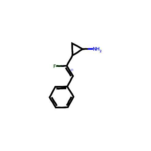 NC1CC1/C(F)=C/c1ccccc1